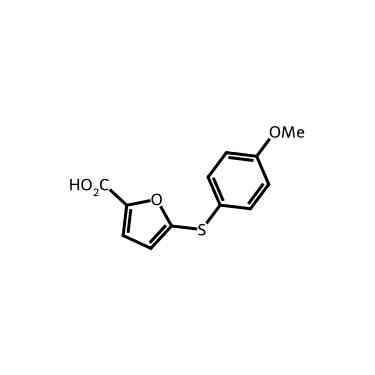 COc1ccc(Sc2ccc(C(=O)O)o2)cc1